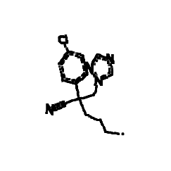 [CH2]CCCC(C#N)(Cn1cncn1)c1ccc(Cl)cc1